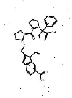 CCn1c(CC[C@@H]2CCCN2C(=O)[C@H]2CCCN2C(CC)(C(=O)O)c2ccccc2)cc2ccc(C(=N)N)cc21